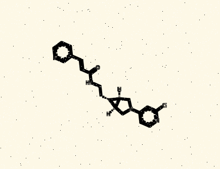 O=C(/C=C/c1cccnc1)NCC[C@@H]1[C@H]2CN(c3ccnc(Cl)c3)C[C@@H]12